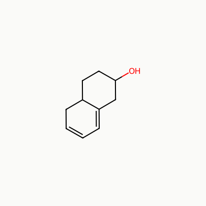 OC1CCC2CC=CC=C2C1